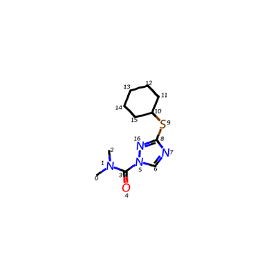 CN(C)C(=O)n1cnc(SC2CCCCC2)n1